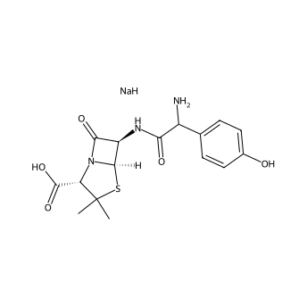 CC1(C)S[C@@H]2[C@H](NC(=O)C(N)c3ccc(O)cc3)C(=O)N2[C@H]1C(=O)O.[NaH]